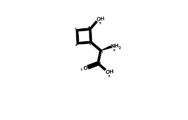 N[C@@H](C(=O)O)C1CCC1O